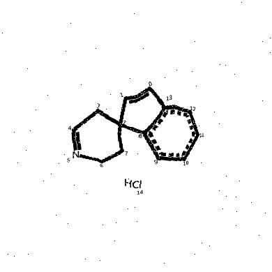 C1=CC2(CC=NCC2)c2ccccc21.Cl